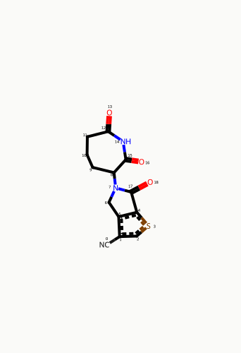 N#Cc1csc2c1CN(C1CCCC(=O)NC1=O)C2=O